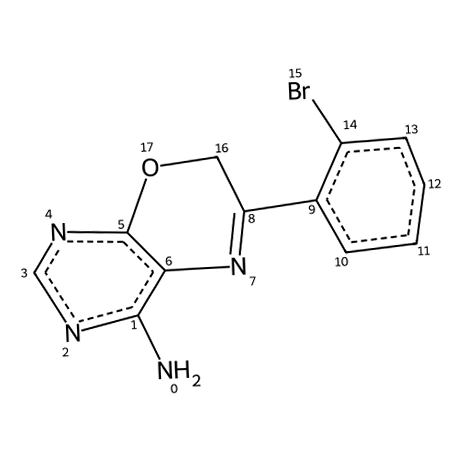 Nc1ncnc2c1N=C(c1ccccc1Br)CO2